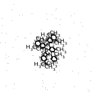 Cc1cc2c3c(c1)N(c1ccccc1C)c1c(sc4ccc(C(C)(C)C)cc14)B3c1cc3c(cc1N2c1ccc2c(c1)C(C)(C)CCC2(C)C)C(C)(C)CCC3(C)C